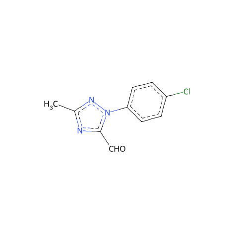 Cc1nc(C=O)n(-c2ccc(Cl)cc2)n1